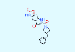 O=C(c1cc(=O)c2cc3[nH]c(=O)oc3cc2[nH]1)N1CCC(Cc2ccccc2)CC1